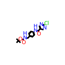 CC(C)(C)OC(=O)NCc1ccc(NC(=O)c2cnc(Cl)nc2)cc1